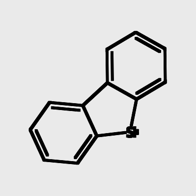 c1ccc2c(c1)[Si]c1ccccc1-2